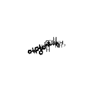 N=C(N)NCCCC(NC(=O)c1ccc2c(c1)nc(-c1ccc3nc(-c4ccccc4)cnc3c1)n2C1CCCCC1)C(=O)O